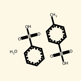 Cc1ccc(S(=O)(=O)O)cc1.O.O=S(=O)(O)c1ccccc1